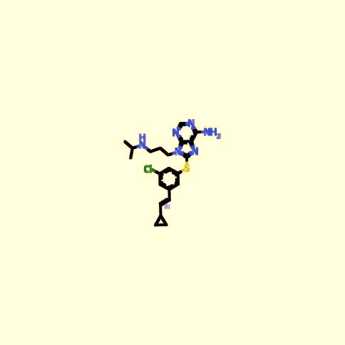 CC(C)NCCCn1c(Sc2cc(Cl)cc(/C=C/C3CC3)c2)nc2c(N)ncnc21